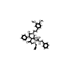 C#CCN1CC(=O)C2[C@@H](c3ccccc3)C(=O)N(CCc3ccc(OC)c(OC)c3)C[C@@H]2N1C(=O)NCc1ccccc1